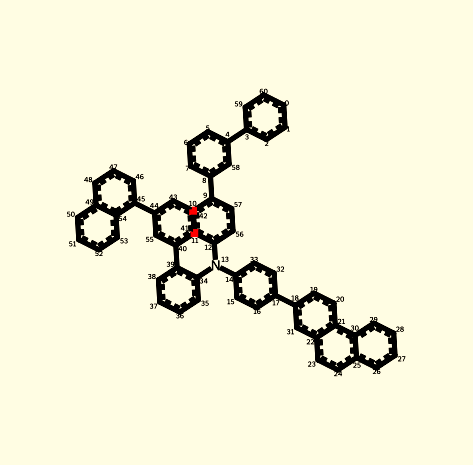 c1ccc(-c2cccc(-c3ccc(N(c4ccc(-c5ccc6c(ccc7ccccc76)c5)cc4)c4ccccc4-c4cccc(-c5cccc6ccccc56)c4)cc3)c2)cc1